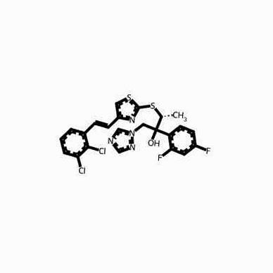 C[C@@H](Sc1nc(C=Cc2cccc(Cl)c2Cl)cs1)C(O)(Cn1cncn1)c1ccc(F)cc1F